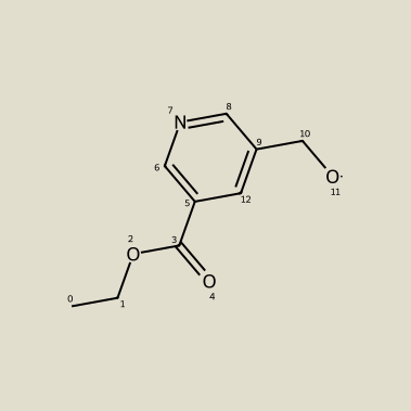 CCOC(=O)c1cncc(C[O])c1